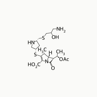 CC(=O)O[C@H](C)[C@H]1C(=O)N2C(C(=O)O)=C(S[C@@H]3CN[C@H](CSCC(O)CN)C3)[C@H](C)[C@H]12